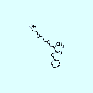 CC(=COCCOCCO)C(=O)Oc1ccccc1